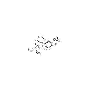 [2H]O[C@@]1(c2cccc(OC([2H])([2H])[2H])c2)CCCC[C@H]1C([2H])([2H])N(C)C